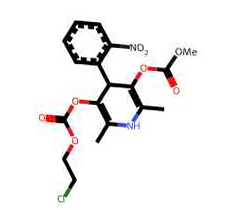 COC(=O)OC1=C(C)NC(C)=C(OC(=O)OCCCl)C1c1ccccc1[N+](=O)[O-]